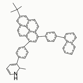 CC1NC=CC=C1c1ccc(-c2cc(-c3ccc(-c4cccc5ccccc45)cc3)c3ccc4cc(C(C)(C)C)cc5ccc2c3c54)cc1